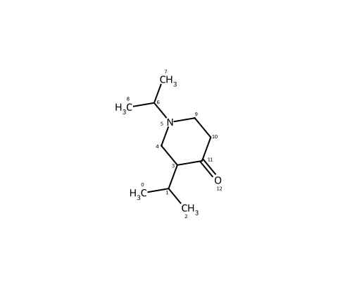 CC(C)C1CN(C(C)C)CCC1=O